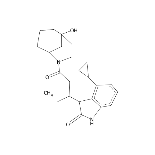 C.CC(CC(=O)N1CCC2(O)CCCC1C2)C1C(=O)Nc2cccc(C3CC3)c21